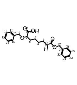 O=C(NCCCCC(OCc1ccccc1)C(=O)O)OCc1ccccc1